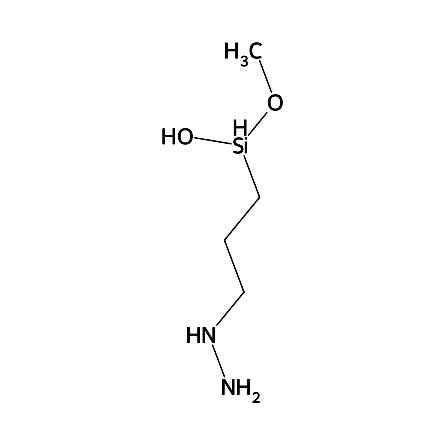 CO[SiH](O)CCCNN